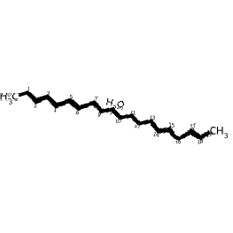 CCCCCCCCCCCCCCCCCCCC.O